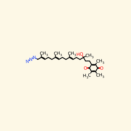 CC1=C(C)C(=O)C(CCC(C)(O)CC/C=C(\C)CC/C=C(\C)CC/C=C(\C)CN=[N+]=[N-])=C(C)C1=O